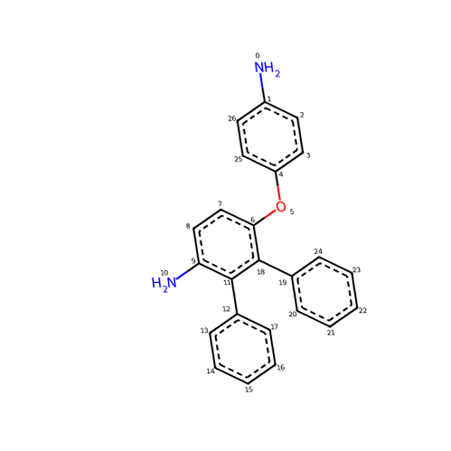 Nc1ccc(Oc2ccc(N)c(-c3ccccc3)c2-c2ccccc2)cc1